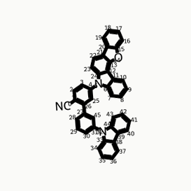 N#Cc1ccc(-n2c3ccccc3c3c4oc5ccccc5c4ccc32)cc1-c1cccc(-n2c3ccccc3c3ccccc32)c1